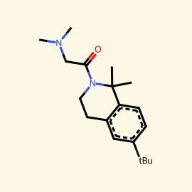 CN(C)CC(=O)N1CCc2cc(C(C)(C)C)ccc2C1(C)C